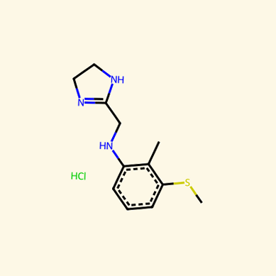 CSc1cccc(NCC2=NCCN2)c1C.Cl